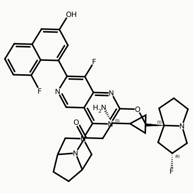 N[C@@H](CC(=O)N1C2CCC1CN(c1nc(OC[C@@]34CCCN3C[C@H](F)C4)nc3c(F)c(-c4cc(O)cc5cccc(F)c45)ncc13)C2)C1CC1